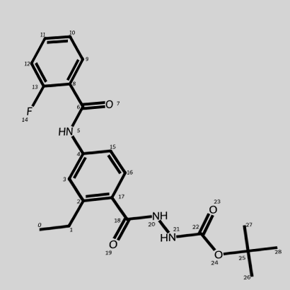 CCc1cc(NC(=O)c2ccccc2F)ccc1C(=O)NNC(=O)OC(C)(C)C